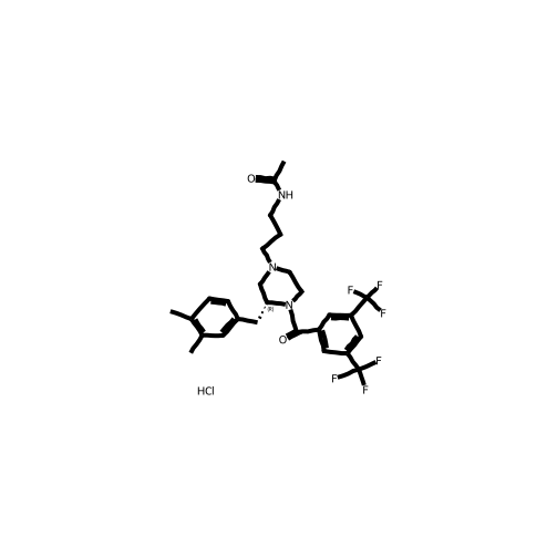 CC(=O)NCCCN1CCN(C(=O)c2cc(C(F)(F)F)cc(C(F)(F)F)c2)[C@H](Cc2ccc(C)c(C)c2)C1.Cl